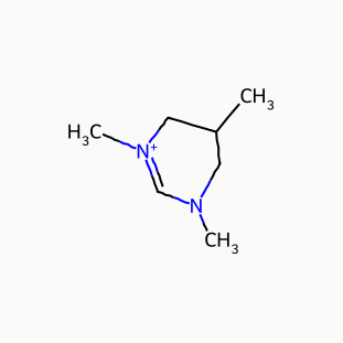 CC1CN(C)C=[N+](C)C1